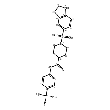 O=C(Nc1ccc(C(F)(F)F)cc1)C1CCN(S(=O)(=O)c2ccc3c(c2)CCN3)CC1